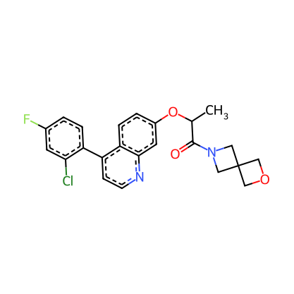 CC(Oc1ccc2c(-c3ccc(F)cc3Cl)ccnc2c1)C(=O)N1CC2(COC2)C1